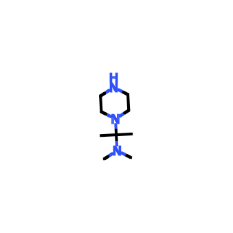 CN(C)C(C)(C)N1CCNCC1